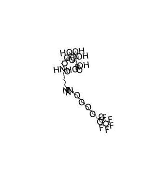 O=C(CCCCCc1cn(CCOCCOCCOCCOCCC(=O)Oc2c(F)c(F)c(F)c(F)c2F)nn1)Nc1ccc(O[C@H]2O[C@H](CCP(=O)(O)O)[C@@H](O)[C@H](O)[C@@H]2O)cc1